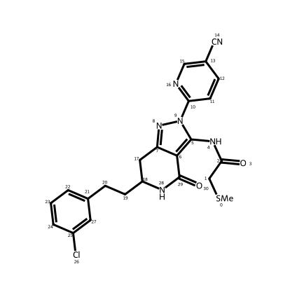 CSCC(=O)Nc1c2c(nn1-c1ccc(C#N)cn1)CC(CCc1cccc(Cl)c1)NC2=O